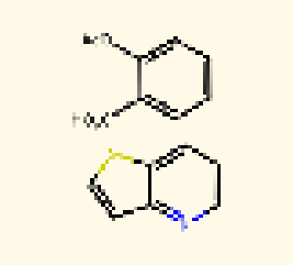 CC(=O)Oc1ccccc1C(=O)O.c1cnc2ccsc2c1